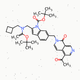 C=C(OC(C)(C)C)N(Cc1cc2ccc(Cn3ccc4c(C(C)=O)cncc4c3=O)cc2n1C(=O)OC(C)(C)C)CC1CCC1